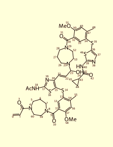 C=CC(=O)N1CCCN(C(=O)c2cc(Sc3sc(NC(C)=O)nc3C=CC(O)N3CCCN(C(=O)c4cc(Sc5cnc(NC(=O)C6CC6)s5)c(C)cc4OC)CC3)c(C)cc2OC)CC1